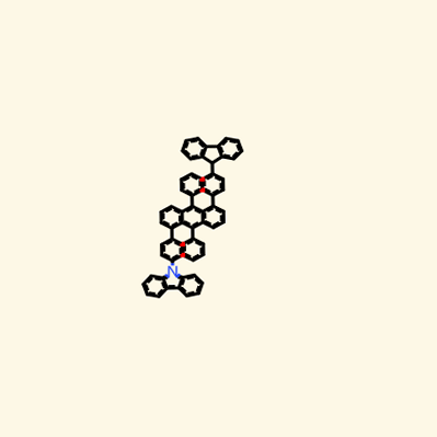 c1ccc(-c2c3cccc(-c4ccc(-n5c6ccccc6c6ccccc65)cc4)c3c(-c3ccccc3)c3cccc(-c4ccc(C5c6ccccc6-c6ccccc65)cc4)c23)cc1